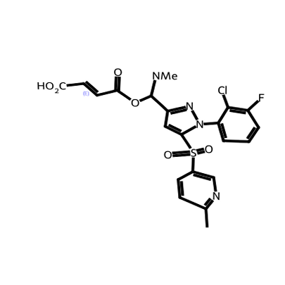 CNC(OC(=O)/C=C/C(=O)O)c1cc(S(=O)(=O)c2ccc(C)nc2)n(-c2cccc(F)c2Cl)n1